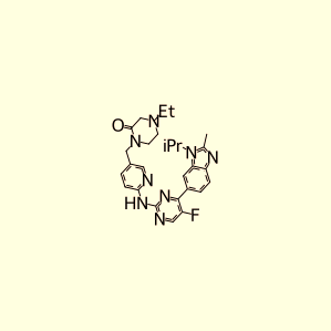 CCN1CCN(Cc2ccc(Nc3ncc(F)c(-c4ccc5nc(C)n(C(C)C)c5c4)n3)nc2)C(=O)C1